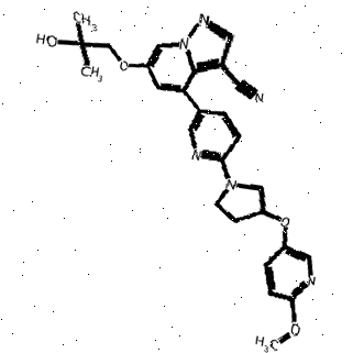 COc1ccc(OC2CCN(c3ccc(-c4cc(OCC(C)(C)O)cn5ncc(C#N)c45)cn3)C2)cn1